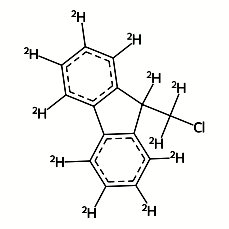 [2H]c1c([2H])c([2H])c2c(c1[2H])-c1c([2H])c([2H])c([2H])c([2H])c1C2([2H])C([2H])([2H])Cl